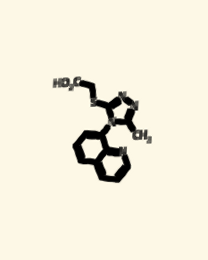 Cc1nnc(SCC(=O)O)n1-c1cccc2cccnc12